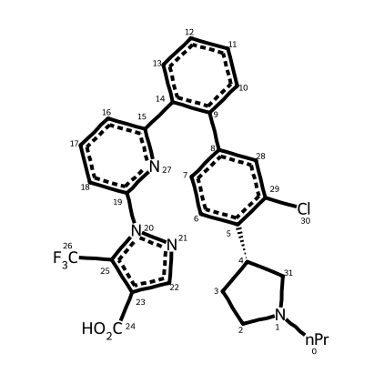 CCCN1CC[C@H](c2ccc(-c3ccccc3-c3cccc(-n4ncc(C(=O)O)c4C(F)(F)F)n3)cc2Cl)C1